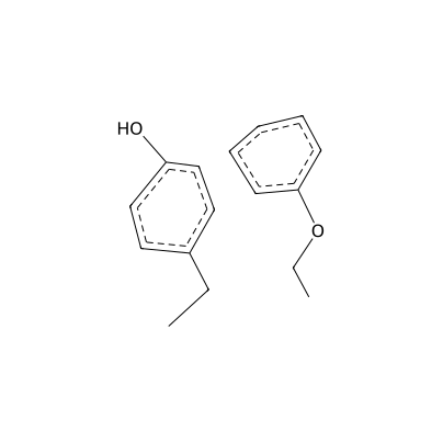 CCOc1ccccc1.CCc1ccc(O)cc1